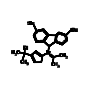 CCC(C)(C)C1=CC[C]([Zr](=[C](C)C)[CH]2c3ccc(C(C)(C)C)cc3-c3cc(C(C)(C)C)ccc32)=C1